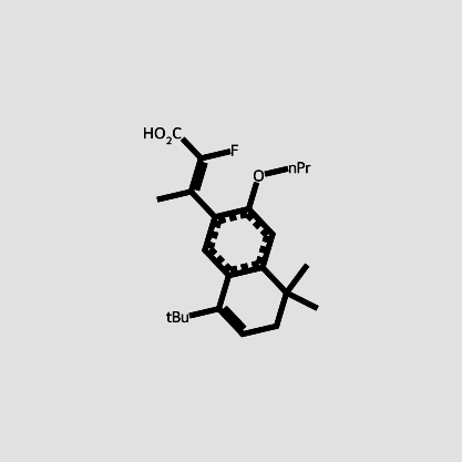 CCCOc1cc2c(cc1C(C)=C(F)C(=O)O)C(C(C)(C)C)=CCC2(C)C